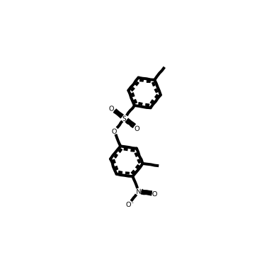 Cc1ccc(S(=O)(=O)Oc2ccc([N+](=O)[O-])c(C)c2)cc1